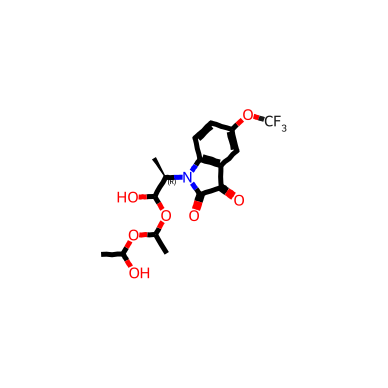 CC(O)OC(C)OC(O)[C@@H](C)N1C(=O)C(=O)c2cc(OC(F)(F)F)ccc21